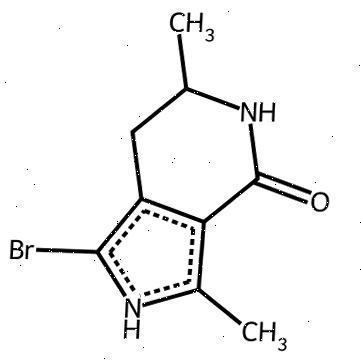 Cc1[nH]c(Br)c2c1C(=O)NC(C)C2